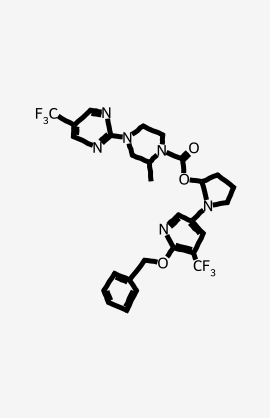 CC1CN(c2ncc(C(F)(F)F)cn2)CCN1C(=O)OC1CCCN1c1cnc(OCc2ccccc2)c(C(F)(F)F)c1